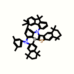 Cc1cc(C)cc(N2c3cc4c(cc3B3c5sc6cc7c(cc6c5N5c6cc(cc2c63)C(C)(C)c2ccc3c(c2)C(C)(C)c2cccc5c2-3)C(C)(C)CCC7(C)C)C(C)(C)CCC4(C)C)c1